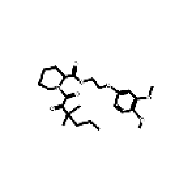 CCCC(C)(C)C(=O)C(=O)N1CCCCC1C(=O)OCCOc1ccc(OC)c(OC)c1